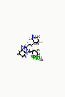 C(=Cc1nc2ccccc2n1-c1ccccc1)c1cccnc1.Cl.Cl